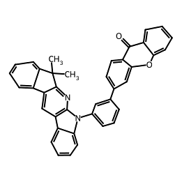 CC1(C)c2ccccc2-c2cc3c4ccccc4n(-c4cccc(-c5ccc6c(=O)c7ccccc7oc6c5)c4)c3nc21